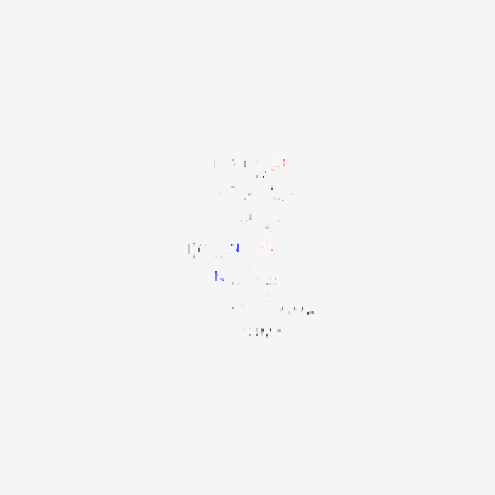 COc1cc2nc(C)nc(Oc3cc(F)c(C(=O)C(=O)O)c(F)c3)c2cc1OC